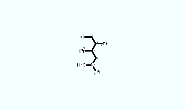 CCC(CI)C(CN(C)C(C)C)C(C)C